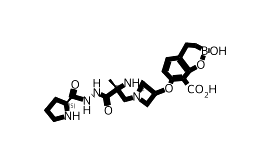 C[C@@](N)(CN1CC(Oc2ccc3c(c2C(=O)O)OB(O)CC3)C1)C(=O)NNC(=O)[C@@H]1CCCN1